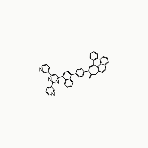 C=C1Cc2ccc3ccccc3c2C(c2ccccc2)=CC1c1ccc(-c2ccc(-c3cc(-c4cccnc4)nc(-c4cccnc4)n3)c3ccccc23)cc1